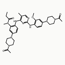 CCC(=O)N(C)c1cc(N2CCN(C(C)=O)CC2)ccc1Nc1nc(Nc2ccc(N3CCN(C(C)=O)CC3)cc2OC)ncc1C